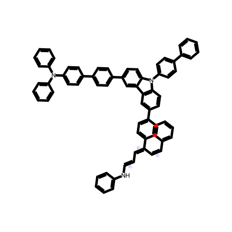 C(=C/c1ccccc1)/C(=C\C=C\Nc1ccccc1)c1ccc(-c2ccc3c(c2)c2cc(-c4ccc(-c5ccc(N(c6ccccc6)c6ccccc6)cc5)cc4)ccc2n3-c2ccc(-c3ccccc3)cc2)cc1